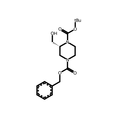 CC(C)(C)OC(=O)N1CCN(C(=O)OCc2ccccc2)C[C@@H]1CO